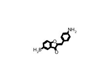 Bc1ccc2c(c1)C(=O)/C(=C/c1ccc(N)cc1)O2